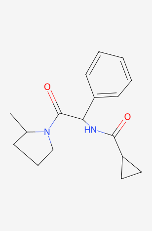 CC1CCCN1C(=O)C(NC(=O)C1CC1)c1ccccc1